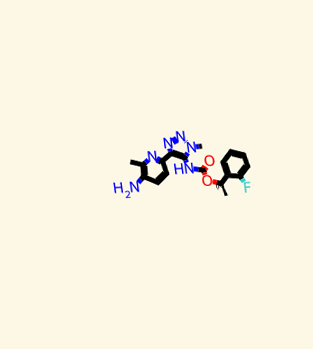 Cc1nc(-c2nnn(C)c2NC(=O)O[C@H](C)c2ccccc2F)ccc1N